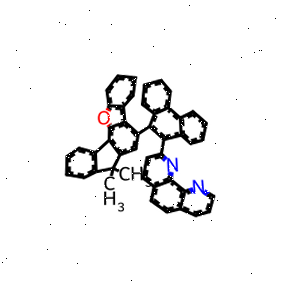 CC1(C)c2ccccc2-c2c1cc(-c1c(-c3ccc4ccc5cccnc5c4n3)c3ccccc3c3ccccc13)c1c2oc2ccccc21